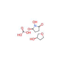 O=C(O)O.O=C1CCC(=O)N1O.O[C@@H]1CCOC1